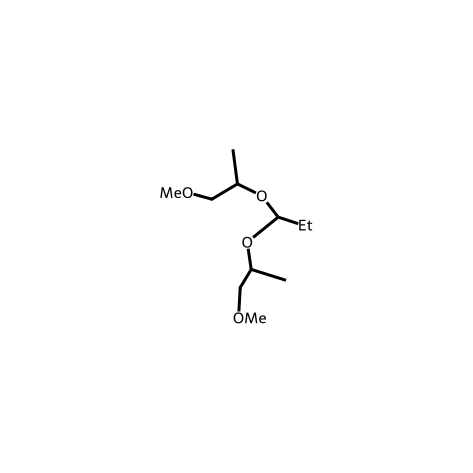 CCC(OC(C)COC)OC(C)COC